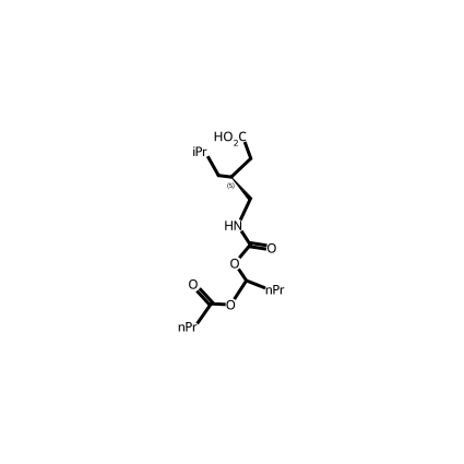 CCCC(=O)OC(CCC)OC(=O)NC[C@H](CC(=O)O)CC(C)C